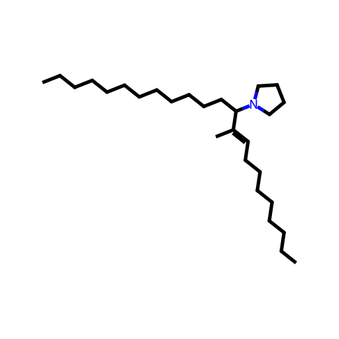 CCCCCCCCC=C(C)C(CCCCCCCCCCCC)N1CCCC1